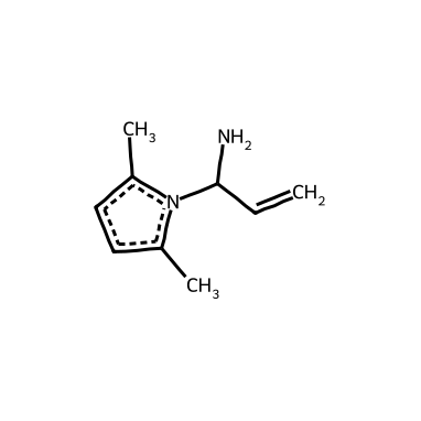 C=CC(N)n1c(C)ccc1C